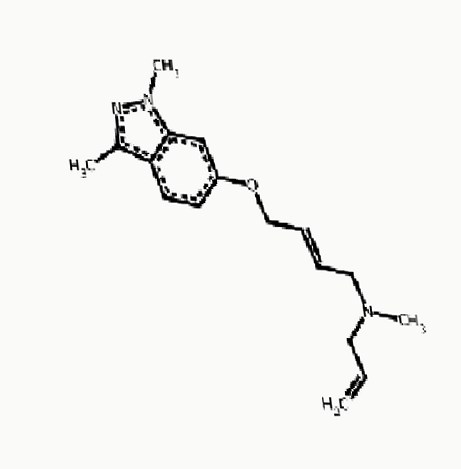 C=CCN(C)C/C=C/COc1ccc2c(C)nn(C)c2c1